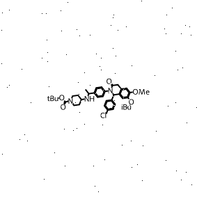 CC[C@@H](C)Oc1cc2c(cc1OC)CC(=O)N(c1ccc(C(C)NC3CCN(C(=O)OC(C)(C)C)CC3)cc1)C2c1ccc(Cl)cc1